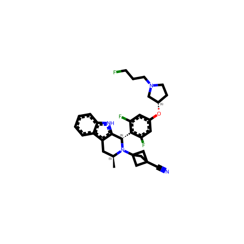 C[C@H]1Cc2c([nH]c3ccccc23)[C@H](c2c(F)cc(O[C@H]3CCN(CCCF)C3)cc2F)N1C12CC(C#N)(C1)C2